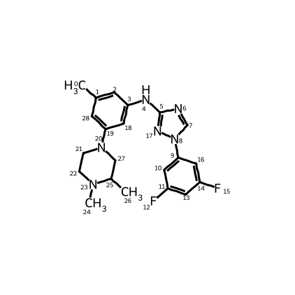 Cc1cc(Nc2ncn(-c3cc(F)cc(F)c3)n2)cc(N2CCN(C)C(C)C2)c1